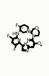 COc1cc2ncc(-c3nc(N[C@H]4CNCC[C@@H]4F)c(F)cc3F)n2nc1N1CCOCC1